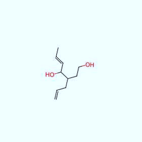 C=CCC(CCO)C(O)C=CC